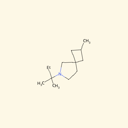 CCC(C)(C)N1CCC2(CC(C)C2)C1